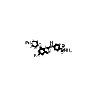 CC(C)N1CCC(Oc2cc(Br)cc3cnc(Nc4ccc(S(N)(=O)=O)cc4)nc23)CC1